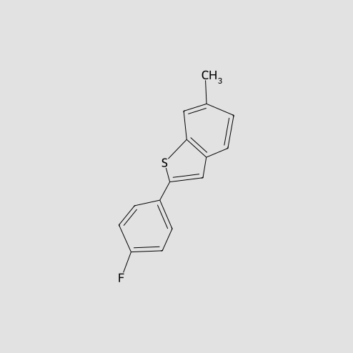 Cc1ccc2cc(-c3ccc(F)cc3)sc2c1